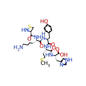 CSCC[C@H](NC(=O)[C@H](Cc1ccc(O)cc1)NC(=O)[C@H](CCCCN)NC(=O)[C@@H]1CSN1)C(=O)N[C@@H](Cc1c[nH]cn1)C(=O)O